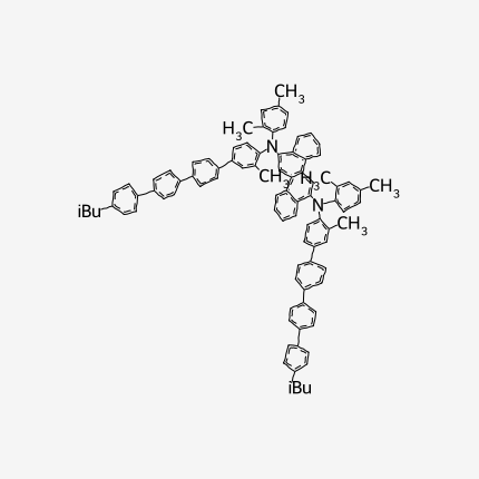 CCC(C)c1ccc(-c2ccc(-c3ccc(-c4ccc(N(c5ccc(C)cc5C)c5cc6c7ccccc7c(N(c7ccc(C)cc7C)c7ccc(-c8ccc(-c9ccc(-c%10ccc(C(C)CC)cc%10)cc9)cc8)cc7C)cc6c6ccccc56)c(C)c4)cc3)cc2)cc1